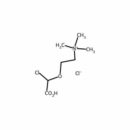 C[N+](C)(C)CCOC(Cl)C(=O)O.[Cl-]